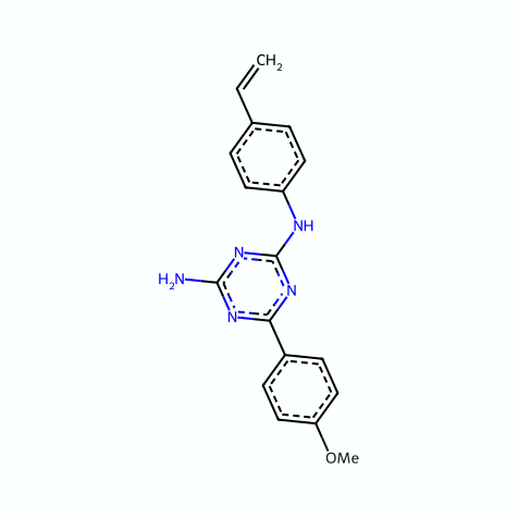 C=Cc1ccc(Nc2nc(N)nc(-c3ccc(OC)cc3)n2)cc1